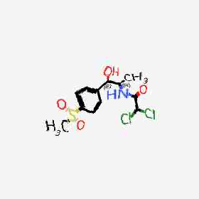 C[C@@H](NC(=O)C(Cl)Cl)[C@H](O)c1ccc(S(C)(=O)=O)cc1